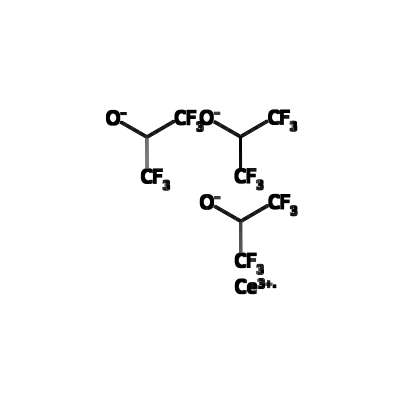 [Ce+3].[O-]C(C(F)(F)F)C(F)(F)F.[O-]C(C(F)(F)F)C(F)(F)F.[O-]C(C(F)(F)F)C(F)(F)F